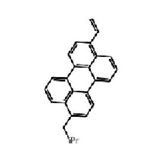 C=Cc1ccc2c3cccc4c(CC(C)C)ccc(c5cccc1c25)c43